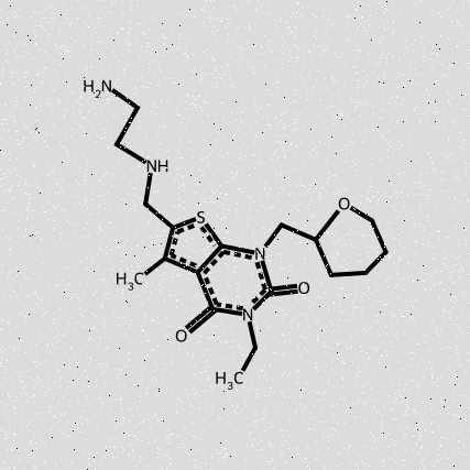 CCn1c(=O)c2c(C)c(CNCCN)sc2n(CC2CCCCO2)c1=O